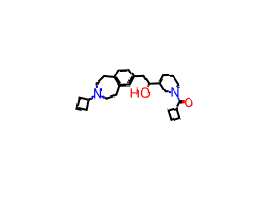 O=C(C1CCC1)N1CCCC(C(O)Cc2ccc3c(c2)CCN(C2CCC2)CC3)C1